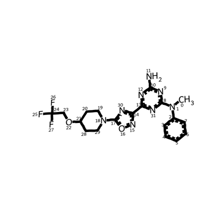 CN(c1ccccc1)c1nc(N)nc(-c2noc(N3CCC(OCC(F)(F)F)CC3)n2)n1